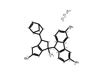 CC(C)(C)C1=CC2=C(C1)C(C1CC3C=CC1C3)CC2(C)C1c2ccc(C(C)(C)C)cc2-c2cc(C(C)(C)C)ccc21.[Cl-].[Cl-].[Zr+2]